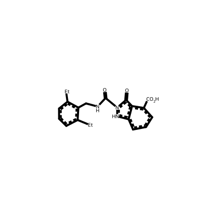 CCc1cccc(CC)c1CNC(=O)n1[nH]c2cccc(C(=O)O)c2c1=O